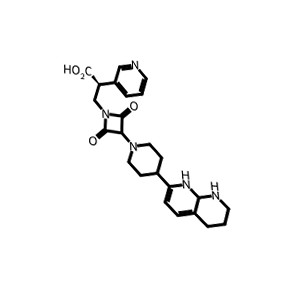 O=C(O)[C@H](CN1C(=O)C(N2CCC(C3=CC=C4CCCNC4N3)CC2)C1=O)c1cccnc1